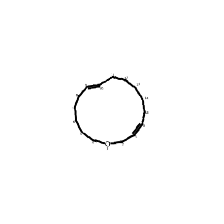 C1=C\COCCCCC/C=C/CCCCC/1